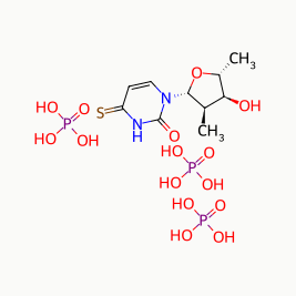 C[C@@H]1[C@H](O)[C@@H](C)O[C@H]1n1ccc(=S)[nH]c1=O.O=P(O)(O)O.O=P(O)(O)O.O=P(O)(O)O